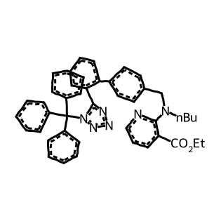 CCCCN(Cc1ccc(-c2ccccc2-c2nnnn2C(c2ccccc2)(c2ccccc2)c2ccccc2)cc1)c1ncccc1C(=O)OCC